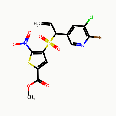 C=CC(c1cnc(Br)c(Cl)c1)S(=O)(=O)c1cc(C(=O)OC)sc1[N+](=O)[O-]